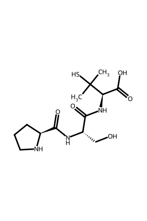 CC(C)(S)[C@H](NC(=O)[C@H](CO)NC(=O)[C@@H]1CCCN1)C(=O)O